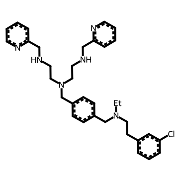 CCN(CCc1cccc(Cl)c1)Cc1ccc(CN(CCNCc2ccccn2)CCNCc2ccccn2)cc1